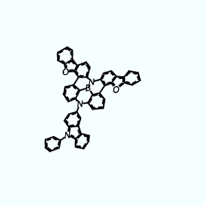 c1ccc(-n2c3ccccc3c3cc(N4c5cccc6c5B5c7c(cccc74)-c4c(ccc7c4oc4ccccc47)N5c4ccc5c(oc7ccccc75)c4-6)ccc32)cc1